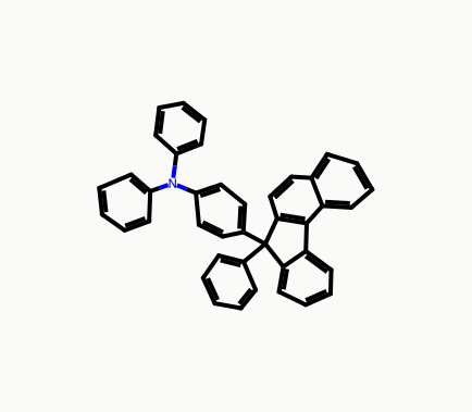 c1ccc(N(c2ccccc2)c2ccc(C3(c4ccccc4)c4ccccc4-c4c3ccc3ccccc43)cc2)cc1